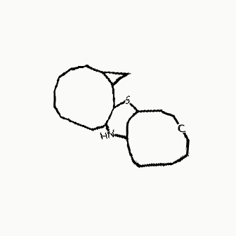 C1CCCCC2CC(CCCC1)SC1C(CCCCCCCCC3CC31)N2